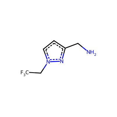 NCc1ccn(CC(F)(F)F)n1